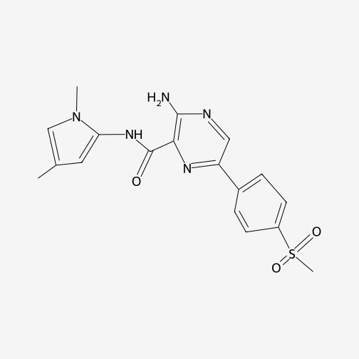 Cc1cc(NC(=O)c2nc(-c3ccc(S(C)(=O)=O)cc3)cnc2N)n(C)c1